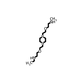 CCNCCOCCN1CCN(CCOCCNC)CC1